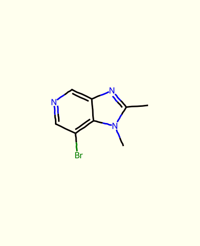 Cc1nc2cncc(Br)c2n1C